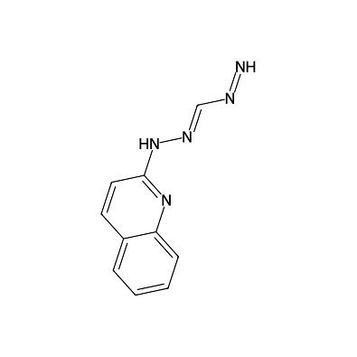 N=NC=NNc1ccc2ccccc2n1